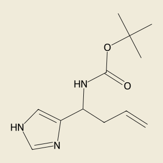 C=CCC(NC(=O)OC(C)(C)C)c1c[nH]cn1